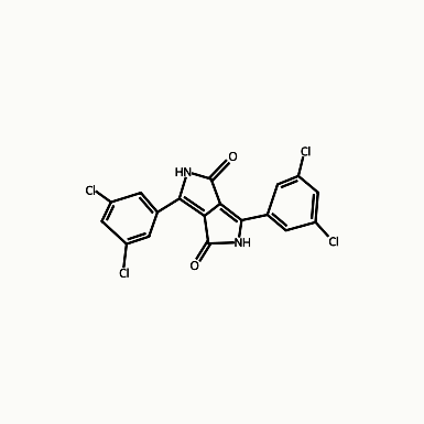 O=C1NC(c2cc(Cl)cc(Cl)c2)=C2C(=O)NC(c3cc(Cl)cc(Cl)c3)=C12